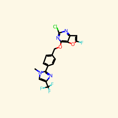 Cn1cc(C(F)(F)F)nc1-c1ccc(COc2nc(Cl)nc3cc(F)oc23)cc1